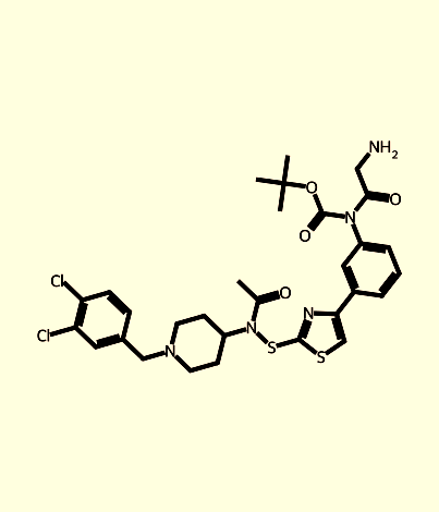 CC(=O)N(Sc1nc(-c2cccc(N(C(=O)CN)C(=O)OC(C)(C)C)c2)cs1)C1CCN(Cc2ccc(Cl)c(Cl)c2)CC1